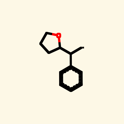 [CH2]C(c1ccccc1)C1CCCO1